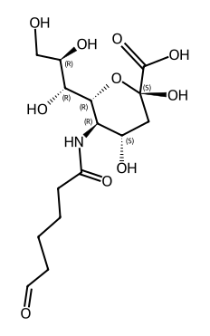 O=CCCCCC(=O)N[C@H]1[C@H]([C@H](O)[C@H](O)CO)O[C@](O)(C(=O)O)C[C@@H]1O